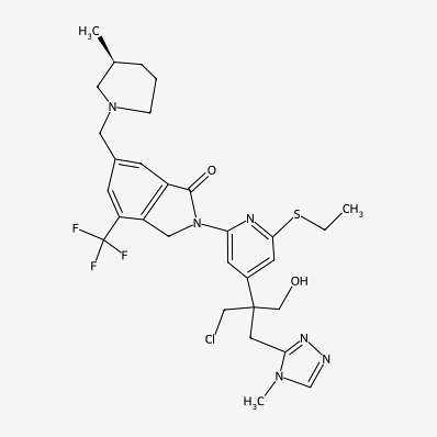 CCSc1cc(C(CO)(CCl)Cc2nncn2C)cc(N2Cc3c(cc(CN4CCC[C@H](C)C4)cc3C(F)(F)F)C2=O)n1